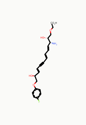 N[C@H](/C=C/C=C/C#C/C=C/[C@H](O)COc1ccc(F)cc1)[C@H](O)COCC(=O)O